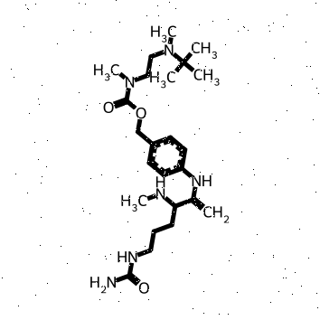 C=C(Nc1ccc(COC(=O)N(C)CCN(C)C(C)(C)C)cc1)C(CCCNC(N)=O)NC